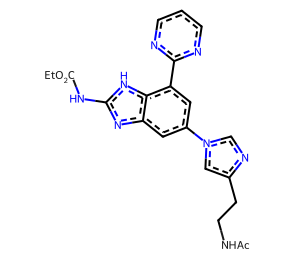 CCOC(=O)Nc1nc2cc(-n3cnc(CCNC(C)=O)c3)cc(-c3ncccn3)c2[nH]1